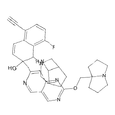 C#Cc1ccc(F)c2c1C=CC(O)(c1cc3nc(OCC45CCCN4CCC5)ncc3cn1)C2N1CC2CCC(C1)C2N